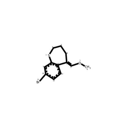 COC=C1CCCSc2cc(Br)ccc21